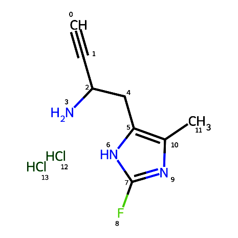 C#CC(N)Cc1[nH]c(F)nc1C.Cl.Cl